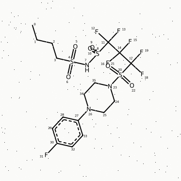 CCCCS(=O)(=O)NS(=O)(=O)C(F)(F)C(F)(F)C(F)(F)S(=O)(=O)N1CCN(c2ccc(F)cc2)CC1